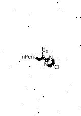 CCCCCCC(C)c1ncc(Cl)cn1